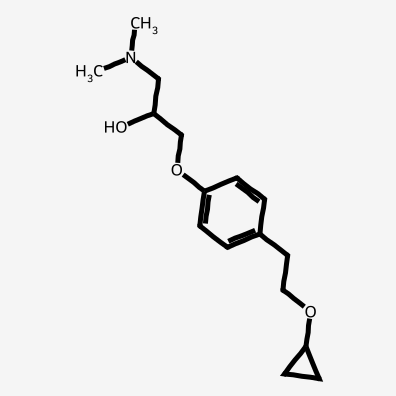 CN(C)CC(O)COc1ccc(CCOC2CC2)cc1